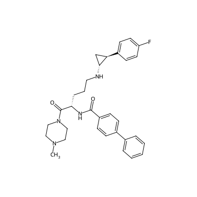 CN1CCN(C(=O)[C@H](CCCN[C@@H]2C[C@H]2c2ccc(F)cc2)NC(=O)c2ccc(-c3ccccc3)cc2)CC1